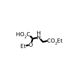 CCOC(=O)CNC(OCC)C(=O)O